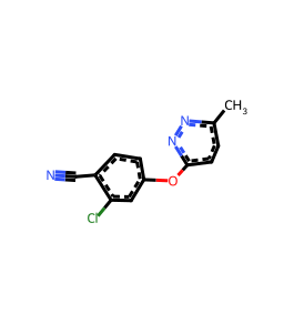 Cc1ccc(Oc2ccc(C#N)c(Cl)c2)nn1